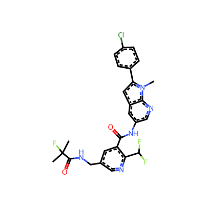 Cn1c(-c2ccc(Cl)cc2)cc2cc(NC(=O)c3cc(CNC(=O)C(C)(C)F)cnc3C(F)F)cnc21